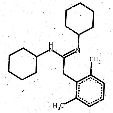 Cc1cccc(C)c1CC(=NC1CCCCC1)NC1CCCCC1